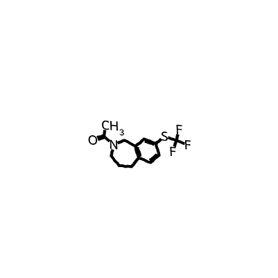 CC(=O)N1CCCc2ccc(SC(F)(F)F)cc2C1